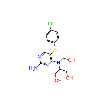 Nc1ncc(Sc2ccc(Cl)cc2)c(N(CO)C(CO)CO)n1